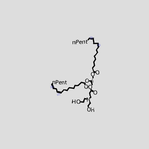 CCCCC/C=C\C/C=C\CCCCCCCC(=O)OC[C@H](COC(=O)CCN(CCO)CCO)OC(=O)CCCCCCC/C=C\C/C=C\CCCCC